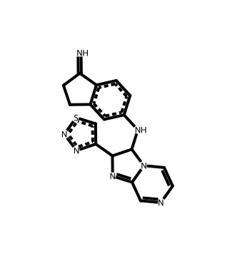 N=C1CCc2cc(NC3C(c4csnn4)N=C4C=NC=CN43)ccc21